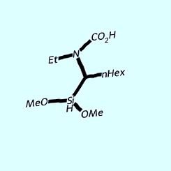 CCCCCCC(N(CC)C(=O)O)[SiH](OC)OC